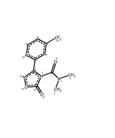 CN(C)C(=O)n1c(-c2cc(C(F)(F)F)ccn2)noc1=O